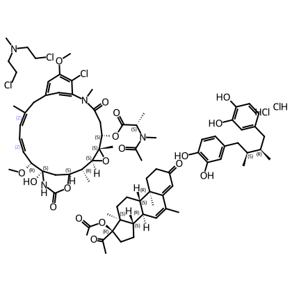 CC(=O)O[C@]1(C(C)=O)CC[C@H]2[C@@H]3C=C(C)C4=CC(=O)CC[C@]4(C)[C@H]3CC[C@@]21C.CN(CCCl)CCCl.COc1cc2cc(c1Cl)N(C)C(=O)C[C@H](OC(=O)[C@H](C)N(C)C(C)=O)[C@]1(C)O[C@H]1[C@H](C)[C@@H]1C[C@@](O)(NC(=O)O1)[C@H](OC)/C=C\C=C(\C)C2.C[C@H](Cc1ccc(O)c(O)c1)[C@@H](C)Cc1ccc(O)c(O)c1.Cl.Cl